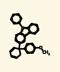 COc1ccc(C2(c3ccc4c(c3)c3ccccc3n4-c3ccccc3)C=CC=CC2)cc1